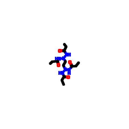 CCC(=O)NN(CCN(NC(=O)CC)NC(=O)CC)NC(=O)CC